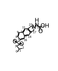 CC(C)CS(=O)(=O)c1ccc2cc3c(cc2c1)CN(NC(=O)O)C3